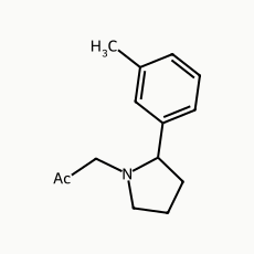 CC(=O)CN1CCCC1c1cccc(C)c1